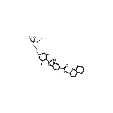 CCOP(=O)(CCCc1cc(C)c(-c2nc3ccc(C(=O)Nc4ccc5ccccc5n4)cc3[nH]2)c(C)c1)OCC